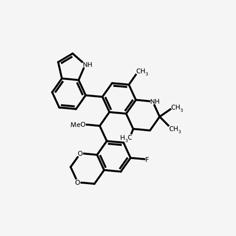 COC(c1cc(F)cc2c1OCOC2)c1c(-c2cccc3cc[nH]c23)cc(C)c2c1C(C)CC(C)(C)N2